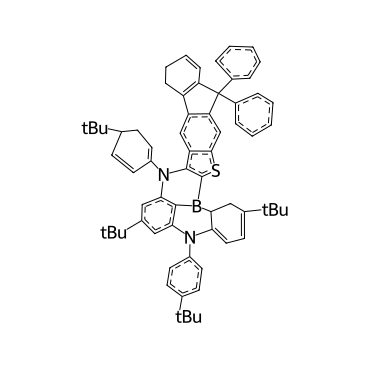 CC(C)(C)C1=CC=C2C(C1)B1c3sc4cc5c(cc4c3N(C3=CCC(C(C)(C)C)C=C3)c3cc(C(C)(C)C)cc(c31)N2c1ccc(C(C)(C)C)cc1)C1=C(C=CCC1)C5(c1ccccc1)c1ccccc1